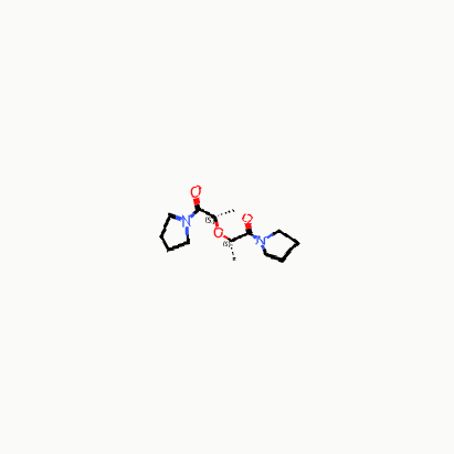 C[C@H](O[C@@H](C)C(=O)N1CCCC1)C(=O)N1CCCC1